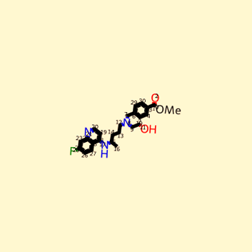 COC(=O)c1ccc(CN(CCO)CCCC(C)Nc2ccnc3cc(F)ccc23)cc1